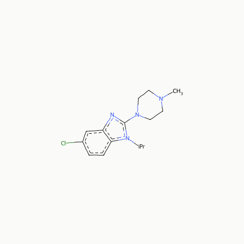 CC(C)n1c(N2CCN(C)CC2)nc2cc(Cl)ccc21